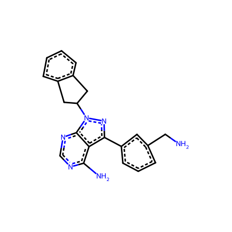 NCc1cccc(-c2nn(C3Cc4ccccc4C3)c3ncnc(N)c23)c1